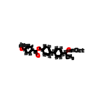 CCCCCCCCCOc1ccc(C(=O)Oc2ccc(-c3ccc(C(C)OCCCCCCCC)cc3)cc2)cc1